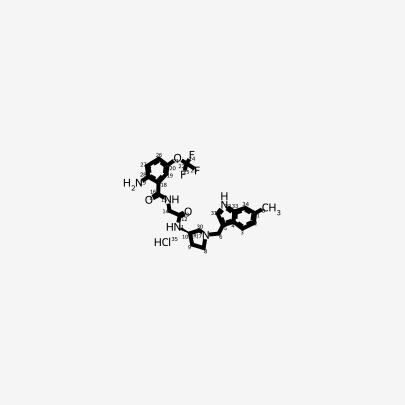 Cc1ccc2c(CN3CC[C@@H](NC(=O)CNC(=O)c4cc(OC(F)(F)F)ccc4N)C3)c[nH]c2c1.Cl